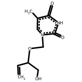 C=CC(CO)OCn1cc(C)c(=O)[nH]c1=O